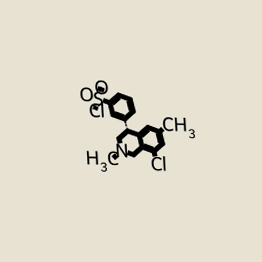 Cc1cc(Cl)c2c(c1)[C@@H](c1cccc(S(=O)(=O)Cl)c1)CN(C)C2